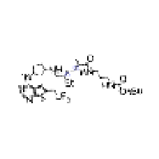 CC/C(=C\C=C(/C)C(=O)NCCCNC(=O)OC(C)(C)C)CNC1CCC(N(C)c2ncnc3sc(CC(F)(F)F)cc23)C1